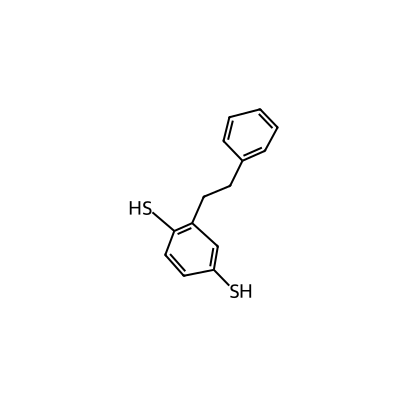 Sc1ccc(S)c(CCc2ccccc2)c1